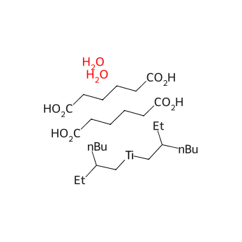 CCCCC(CC)[CH2][Ti][CH2]C(CC)CCCC.O.O.O=C(O)CCCCC(=O)O.O=C(O)CCCCC(=O)O